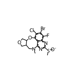 CN1CC2COCC2Oc2c(Cl)c(Br)c(F)c3nc([S+](C)[O-])nc1c23